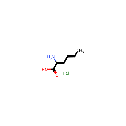 C/C=C/C[C@H](N)C(=O)O.Cl